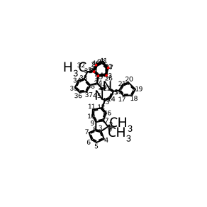 CC1(C)c2ccccc2-c2ccc(-c3cc(-c4ccccc4)nc(C45c6ccccc6C(C)(c6ccccc64)c4ccccc45)n3)cc21